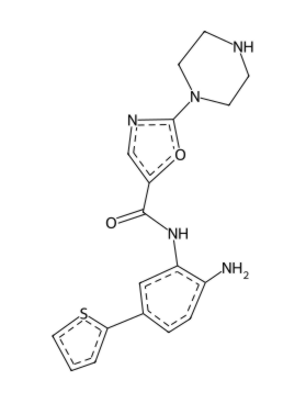 Nc1ccc(-c2cccs2)cc1NC(=O)c1cnc(N2CCNCC2)o1